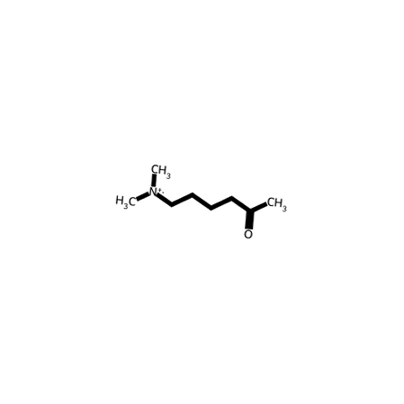 CC(=O)CCCC[N+](C)C